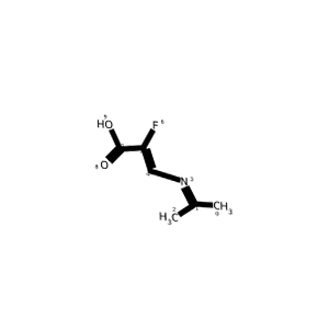 CC(C)=N/C=C(\F)C(=O)O